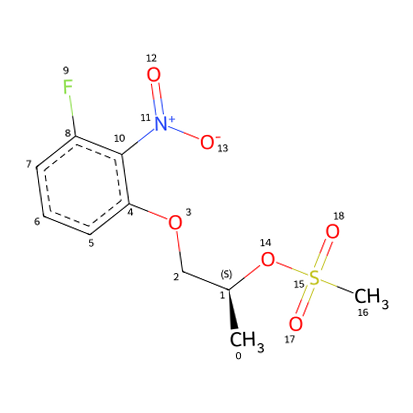 C[C@@H](COc1cccc(F)c1[N+](=O)[O-])OS(C)(=O)=O